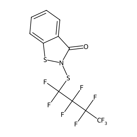 O=c1c2ccccc2sn1SC(F)(F)C(F)(F)C(F)(F)C(F)(F)F